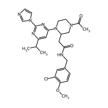 COc1ccc(CNC(=O)CC2CN(C(C)=O)CCN2c2cc(C(C)C)nc(-n3ccnc3)n2)cc1Cl